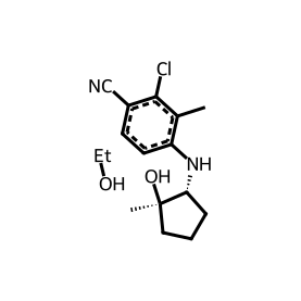 CCO.Cc1c(N[C@@H]2CCC[C@@]2(C)O)ccc(C#N)c1Cl